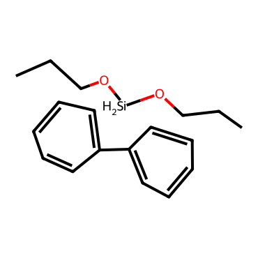 CCCO[SiH2]OCCC.c1ccc(-c2ccccc2)cc1